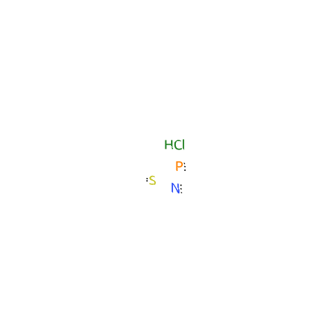 Cl.[N].[P].[S]